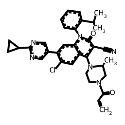 C=CC(=O)N1CCN(c2c(C#N)c(=O)n(-c3ccccc3C(C)C)c3cc(-c4cnc(C5CC5)nc4)c(Cl)cc23)[C@@H](C)C1